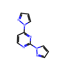 c1cnn(-c2ccnc(-n3cccn3)n2)c1